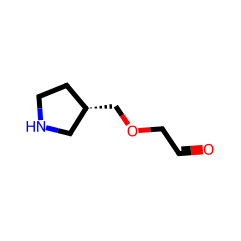 O=CCOC[C@H]1CCNC1